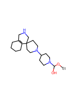 CCOC(O)N1CCC(N2CCC3(CC2)CNCC2=C3CCCC2)CC1